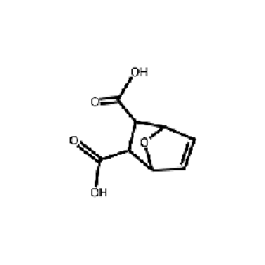 O=C(O)C1C2C=CC(O2)C1C(=O)O